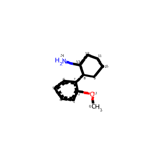 COc1ccccc1C1CCCCC1N